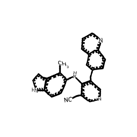 Cc1c(Nc2c(C#N)cncc2-c2ccc3ncccc3c2)ccc2[nH]ccc12